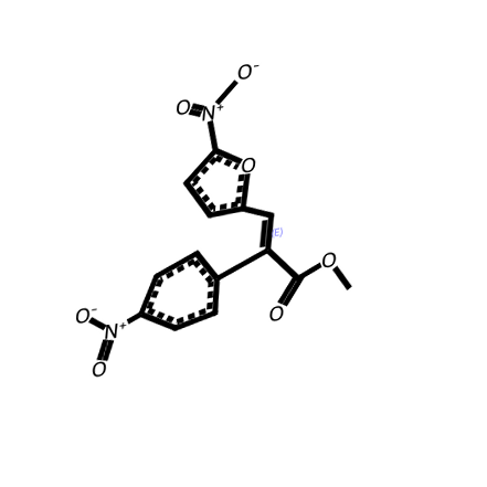 COC(=O)/C(=C/c1ccc([N+](=O)[O-])o1)c1ccc([N+](=O)[O-])cc1